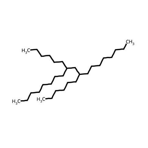 CCCCCCCCC(CCCCCC)CC(CCCCCC)CCCCCCCC